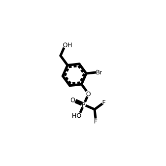 O=P(O)(Oc1ccc(CO)cc1Br)C(F)F